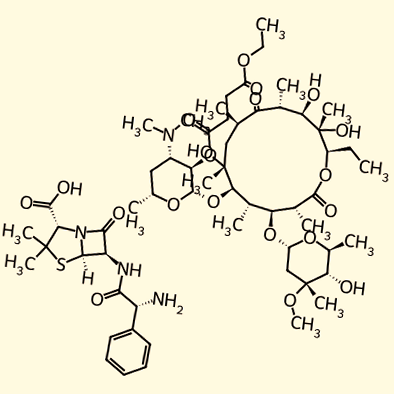 CC1(C)S[C@@H]2[C@H](NC(=O)[C@H](N)c3ccccc3)C(=O)N2[C@H]1C(=O)O.CCOC(=O)CCC(=O)O[C@H]1[C@H](O[C@@H]2[C@@H](C)[C@H](O[C@H]3C[C@@](C)(OC)[C@@H](O)[C@H](C)O3)[C@@H](C)C(=O)O[C@H](CC)[C@@](C)(O)[C@H](O)[C@@H](C)C(=O)[C@H](C)C[C@@]2(C)O)O[C@H](C)C[C@@H]1N(C)C